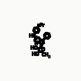 CCCc1ccc(NN2C=Nc3c(c(-c4ccccc4)cn3[C@@H]3O[C@H](C)[C@@H](O)[C@H]3O)C2)cc1